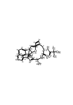 CCC(O)(CC)C(=O)N[C@H]1Cc2ccc3c(c2)[C@@]2(c4ccccc4NC2O3)c2oc(nc2-c2cnco2)[C@H](C(C)C)NC1=O